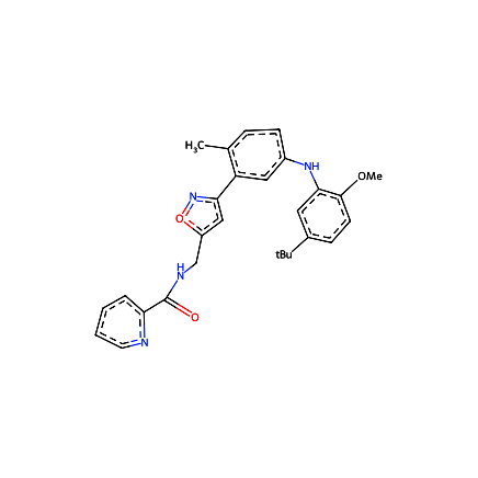 COc1ccc(C(C)(C)C)cc1Nc1ccc(C)c(-c2cc(CNC(=O)c3ccccn3)on2)c1